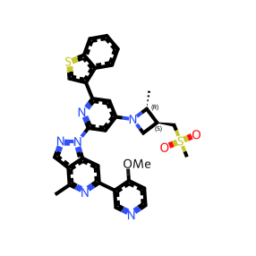 COc1ccncc1-c1cc2c(cnn2-c2cc(N3C[C@H](CS(C)(=O)=O)[C@H]3C)cc(-c3csc4ccccc34)n2)c(C)n1